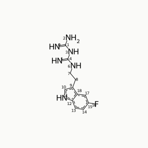 N=C(N)NC(=N)NCCc1c[nH]c2ccc(F)cc12